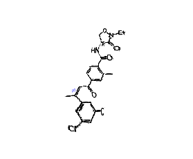 CCN1OC[C@@H](NC(=O)c2ccc(C(=O)/C=C(/C)c3cc(Cl)cc(Cl)c3)cc2C)C1=O